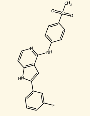 CS(=O)(=O)c1ccc(Nc2nccc3[nH]c(-c4cccc(F)c4)cc23)cc1